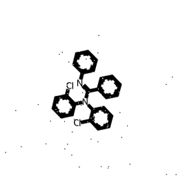 Clc1ccccc1N(C(=Nc1ccccc1)c1ccccc1)c1ccccc1Cl